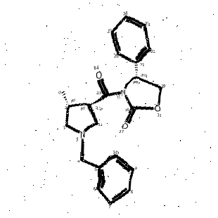 C[C@H]1CN(Cc2ccccc2)C[C@@H]1C(=O)N1C(=O)OC[C@H]1c1ccccc1